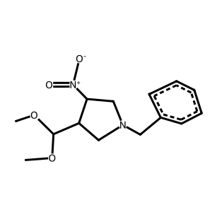 COC(OC)C1CN(Cc2ccccc2)CC1[N+](=O)[O-]